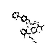 COCC[C@H](c1c(F)cncc1F)N1C[C@@H](C)N(C(=O)C(C)C)[C@@H](C(=O)NCc2ccc(-c3ncccn3)cc2)C1